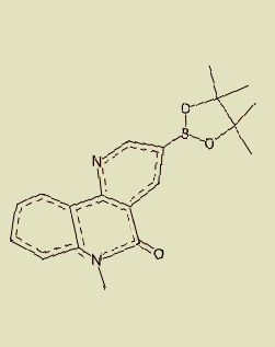 Cn1c(=O)c2cc(B3OC(C)(C)C(C)(C)O3)cnc2c2ccccc21